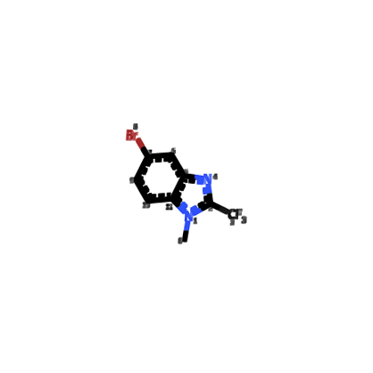 Cn1c(C(F)(F)F)nc2cc(Br)ccc21